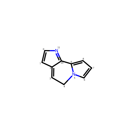 C1=CC2=CCn3cccc3C2=N1